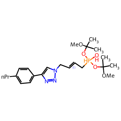 CCCc1ccc(-c2cn(C/C=C/C[PH](O)(OC(C)(C)OC)OC(C)(C)OC)nn2)cc1